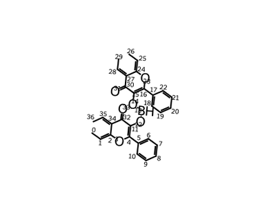 C/C=c1/oc(-c2ccccc2)c(OBOc2c(-c3ccccc3)oc(=C/C)/c(=C\C)c2=O)c(=O)/c1=C/C